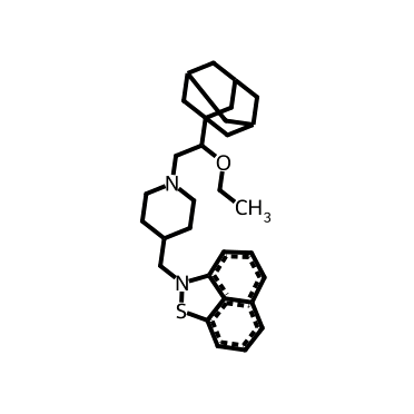 CCOC(CN1CCC(CN2Sc3cccc4cccc2c34)CC1)C12CC3CC(CC(C3)C1)C2